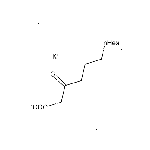 CCCCCCCCCC(=O)CC(=O)[O-].[K+]